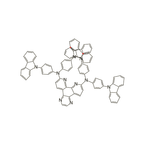 c1ccc2c(c1)c1ccccc1n2-c1ccc(N(c2ccc(-n3c4ccccc4c4ccccc43)cc2)c2ccc3c4nccnc4c4ccc(N(c5ccc(-n6c7ccccc7c7ccccc76)cc5)c5ccc(-n6c7ccccc7c7ccccc76)cc5)nc4c3n2)cc1